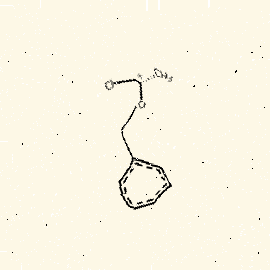 C[C@@H](Cl)OCc1ccccc1